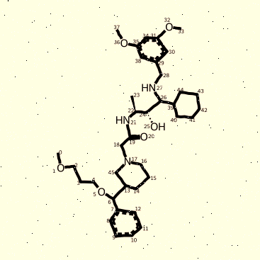 COCCCOC(c1ccccc1)C1CCCN(CC(=O)N[C@@H](C)[C@@H](O)C(NCc2cc(OC)cc(OC)c2)C2CCCCC2)C1